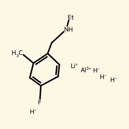 CCNCc1ccc(F)cc1C.[Al+3].[H-].[H-].[H-].[H-].[Li+]